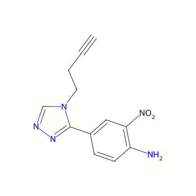 C#CCCn1cnnc1-c1ccc(N)c([N+](=O)[O-])c1